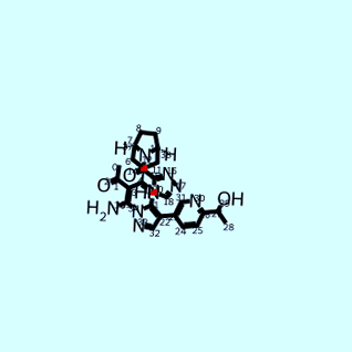 CC(=O)c1c([C@H]2C[C@H]3CC[C@@H](C2)N3C(=O)c2nnc[nH]2)nc2c(-c3ccc(C(C)O)nc3)cnn2c1N